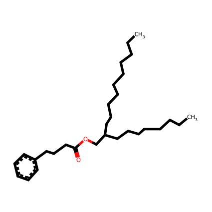 CCCCCCCCCCC(CCCCCCCC)COC(=O)CCCc1ccccc1